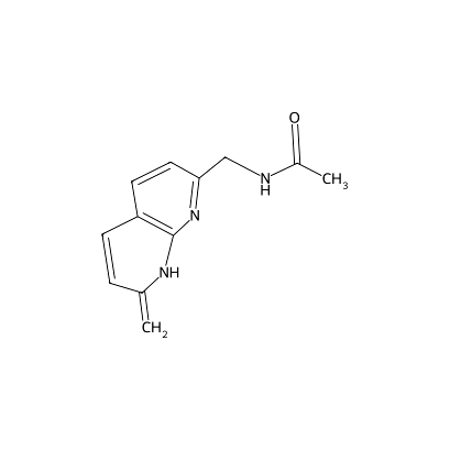 C=C1C=Cc2ccc(CNC(C)=O)nc2N1